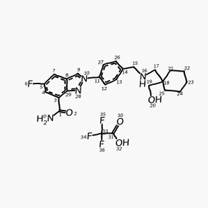 NC(=O)c1cc(F)cc2cn(-c3ccc(CNCC4(CO)CCCCC4)cc3)nc12.O=C(O)C(F)(F)F